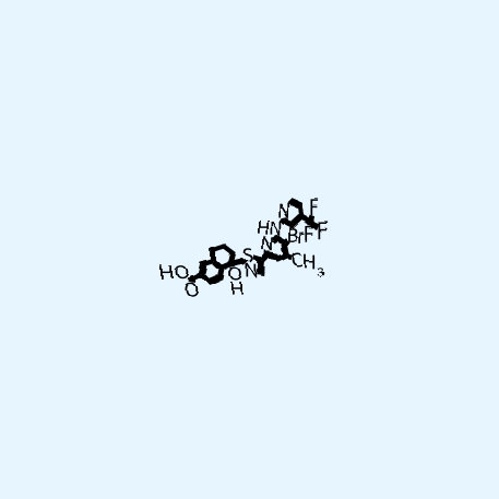 Cc1cc(-c2cnc(C3(O)CCCc4cc(C(=O)O)ccc43)s2)nc(Nc2cc(C(F)(F)F)ccn2)c1Br